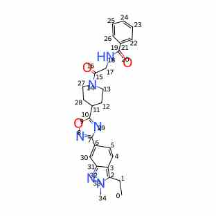 CCc1c2ccc(-c3noc(C4CCN(C(=O)CNC(=O)c5ccccc5)CC4)n3)cc2nn1C